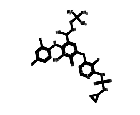 Cn1c(Nc2ccc(I)cc2F)c(C(O)NOC(C)(C)C)cc(Cc2ccnc(NS(=O)(=O)NC3CC3)c2F)c1=O